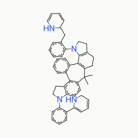 CC1(C)C2=C(C3=C(CC2)CCN3c2ccccc2CC2C=CC=CN2)c2ccccc2-c2c1ccc1c2CCN1c1ccccc1C1=CC=CCN1